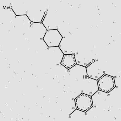 COCCOC(=O)N1CCC(c2nc(C(=O)Nc3ccccc3-c3ccc(C)cc3)cs2)CC1